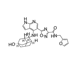 O=C(NCc1ccco1)c1noc(-c2cnc3[nH]ccc3c2N[C@H]2[C@@H]3CC4C[C@H]2C[C@@](O)(C4)C3)n1